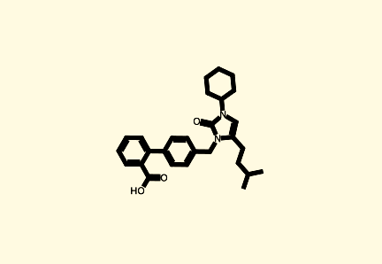 CC(C)CCc1cn(C2CCCCC2)c(=O)n1Cc1ccc(-c2ccccc2C(=O)O)cc1